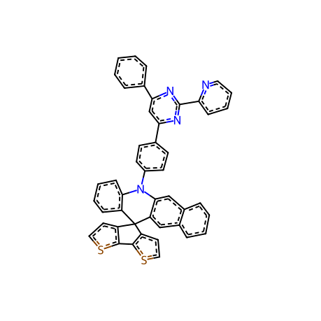 c1ccc(-c2cc(-c3ccc(N4c5ccccc5C5(c6cc7ccccc7cc64)c4ccsc4-c4sccc45)cc3)nc(-c3ccccn3)n2)cc1